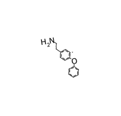 NCCc1c[c]c(Oc2ccccc2)cc1